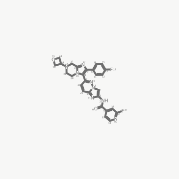 O=C(Nc1cn2nc(-c3c(-c4ccc(F)cc4)nc4n3CCN(C3COC3)C4)ccc2n1)c1ccnc(F)c1